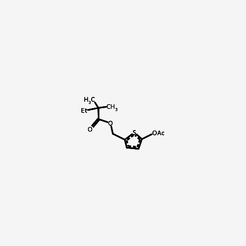 CCC(C)(C)C(=O)OCc1ccc(OC(C)=O)s1